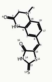 CN1CC(=O)Nc2cc(C=C3SC(=S)NC3=O)ccc21